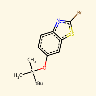 CC(C)(C)[Si](C)(C)Oc1ccc2nc(Br)sc2c1